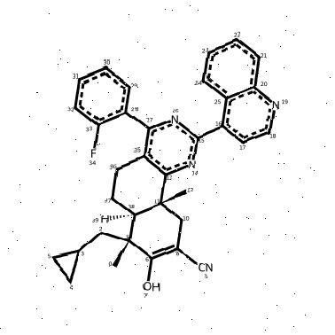 C[C@]1(CC2CC2)C(O)=C(C#N)C[C@@]2(C)c3nc(-c4ccnc5ccccc45)nc(-c4ccccc4F)c3CC[C@H]12